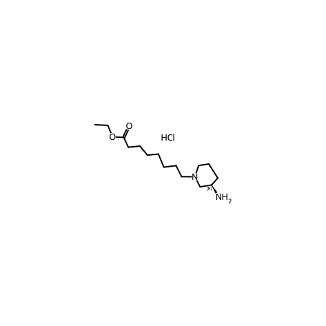 CCOC(=O)CCCCCCCN1CCC[C@@H](N)C1.Cl